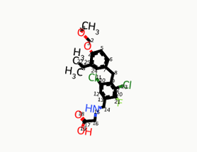 COCOc1ccc(Cc2c(Cl)cc(CNCC(=O)O)c(F)c2Cl)cc1C(C)C